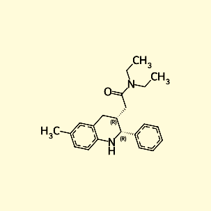 CCN(CC)C(=O)C[C@H]1Cc2cc(C)ccc2N[C@H]1c1ccccc1